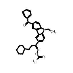 CCn1c2ccc(C(=O)c3ccccc3)cc2c2cc(/C(CCC3CCCCC3)=N/OC(C)=O)ccc21